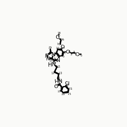 COCCOc1cc2nc(NCCCCNC(=O)c3ccccc3Cl)c3nnc(C)n3c2cc1OCCOC